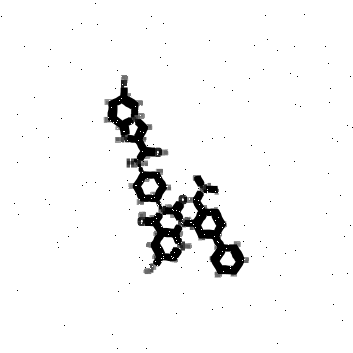 CN(C)Cc1ccc(-c2ccccc2)cc1-n1c(=O)n([C@H]2CC[C@@H](NC(=O)c3cn4cc(F)ccc4n3)CC2)c(=O)c2cc(F)cnc21